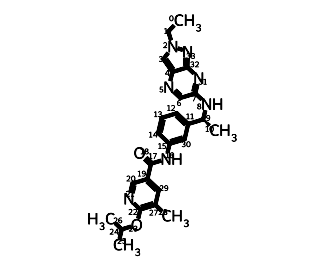 CCn1cc2ncc(N[C@@H](C)c3cccc(NC(=O)c4cnc(OC(C)C)c(C)c4)c3)nc2n1